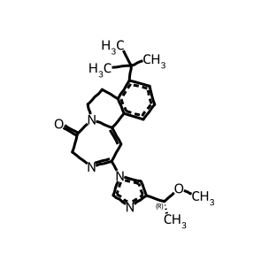 CO[C@H](C)c1cn(C2=NCC(=O)N3CCc4c(cccc4C(C)(C)C)C3=C2)cn1